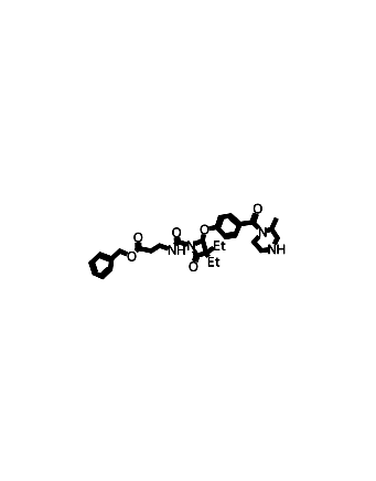 CCC1(CC)C(=O)N(C(=O)NCCC(=O)OCc2ccccc2)C1Oc1ccc(C(=O)N2CCNCC2C)cc1